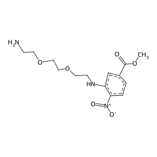 COC(=O)c1ccc([N+](=O)[O-])c(NCCOCCOCCN)c1